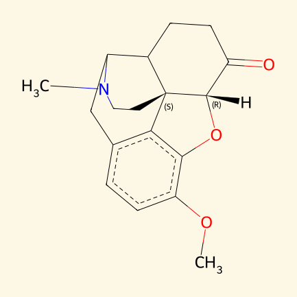 COc1ccc2c3c1O[C@H]1C(=O)CCC4C(C2)N(C)CC[C@@]341